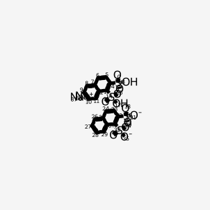 O=S(=O)(O)c1ccc2ccccc2c1S(=O)(=O)O.O=S(=O)([O-])c1ccc2ccccc2c1S(=O)(=O)[O-].[Na+].[Na+]